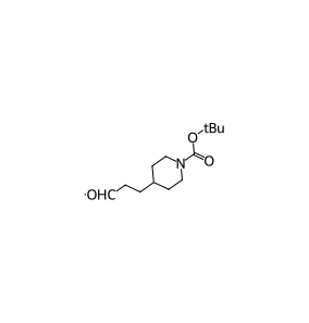 CC(C)(C)OC(=O)N1CCC(CC[C]=O)CC1